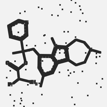 Cc1cc(CC(C)(OC(=O)C(N)C(C)C)c2cccnc2)c2c(c1)c1c(n2C)CCN(C)CC1